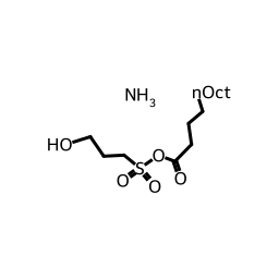 CCCCCCCCCCCC(=O)OS(=O)(=O)CCCO.N